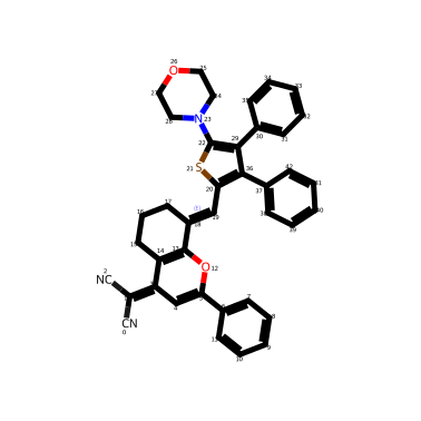 N#CC(C#N)=C1C=C(c2ccccc2)OC2=C1CCC/C2=C\c1sc(N2CCOCC2)c(-c2ccccc2)c1-c1ccccc1